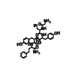 CC(C)CC(NC(=O)CN)C(=O)NC(Cc1ccc(O)cc1)C(=O)NC(Cc1ccc(O)cc1)C(=O)NC(CCc1ccccc1)C(N)=O